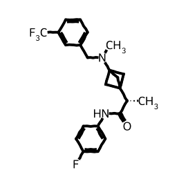 C[C@H](C(=O)Nc1ccc(F)cc1)C12CC(N(C)Cc3cccc(C(F)(F)F)c3)(C1)C2